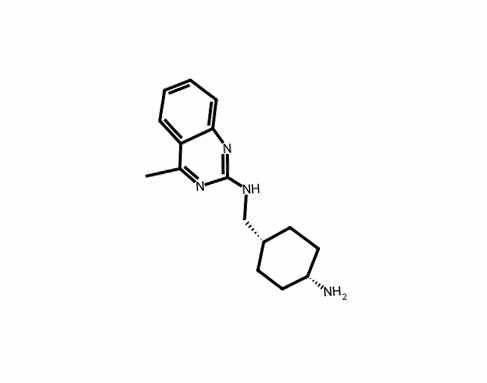 Cc1nc(NC[C@H]2CC[C@@H](N)CC2)nc2ccccc12